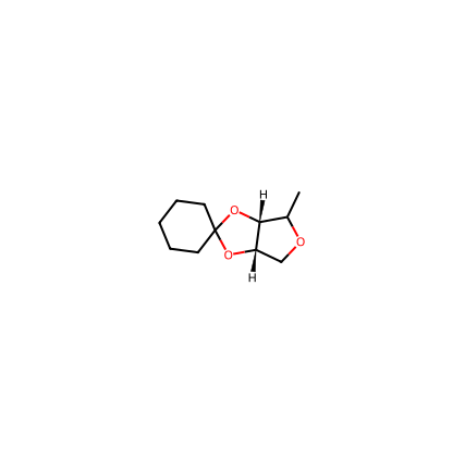 CC1OC[C@@H]2OC3(CCCCC3)O[C@H]12